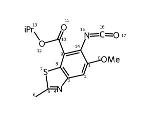 COc1cc2nc(C)sc2c(C(=O)OC(C)C)c1N=C=O